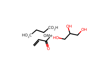 C=CC(=O)OC.O=C(O)CCC(=O)O.OCC(O)CO